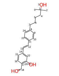 CC(C)(O)CCCCc1ccc(C=Cc2ccc(CO)c(O)c2)cc1